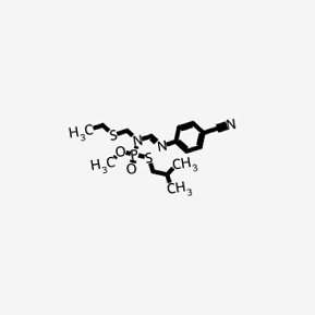 CCSCN(C=Nc1ccc(C#N)cc1)P(=O)(OC)SCC(C)C